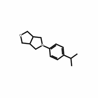 CC(C)c1ccc(N2CC3COCC3C2)cc1